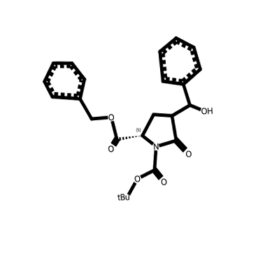 CC(C)(C)OC(=O)N1C(=O)C(C(O)c2ccccc2)C[C@H]1C(=O)OCc1ccccc1